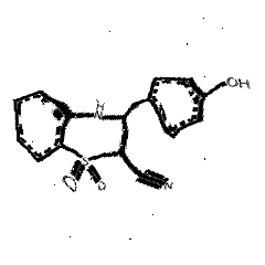 N#CC1C(c2ccc(O)cc2)Nc2ccccc2S1(=O)=O